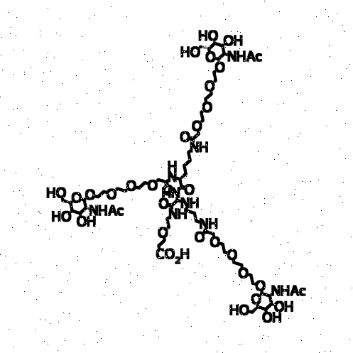 CC(=O)N[C@H]1[C@H](OCCOCCOCCOCC(=O)NCCCC[C@H](NC(=O)COCCOCCOCCO[C@@H]2O[C@H](CO)[C@H](O)[C@H](O)[C@H]2NC(C)=O)C(=O)N[C@@H](NCCCNC(=O)COCCOCCOCCO[C@@H]2O[C@H](CO)[C@H](O)[C@H](O)[C@H]2NC(C)=O)C(=O)NCCOCCC(=O)O)O[C@H](CO)[C@H](O)[C@@H]1O